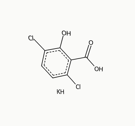 O=C(O)c1c(Cl)ccc(Cl)c1O.[KH]